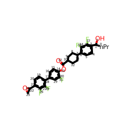 CCCC(O)c1ccc(C2CCC(C(=O)Oc3ccc(-c4ccc(C5CO5)c(F)c4F)cc3F)CC2)c(F)c1F